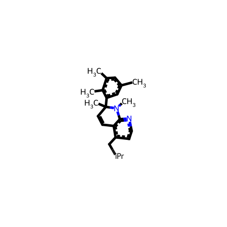 Cc1cc(C)c(C)c(C2(C)C=Cc3c(CC(C)C)ccnc3N2C)c1